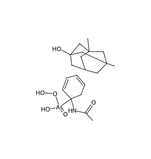 CC(=O)NC1([As](=O)(O)OO)C=CC=CC1.CC12CC3CC(C)(C1)CC(O)(C3)C2